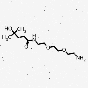 CC(C)(O)CCC(=O)NCCOCCOCCN